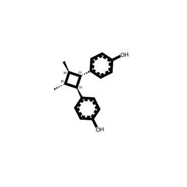 C[C@@H]1[C@@H](C)[C@H](c2ccc(O)cc2)[C@H]1c1ccc(O)cc1